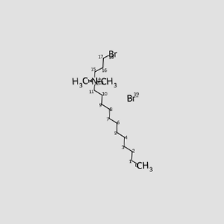 CCCCCCCCCCCC[N+](C)(C)CCCBr.[Br-]